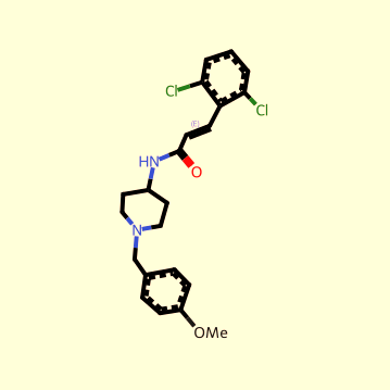 COc1ccc(CN2CCC(NC(=O)/C=C/c3c(Cl)cccc3Cl)CC2)cc1